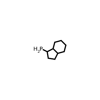 PC1CCC2CCCCC12